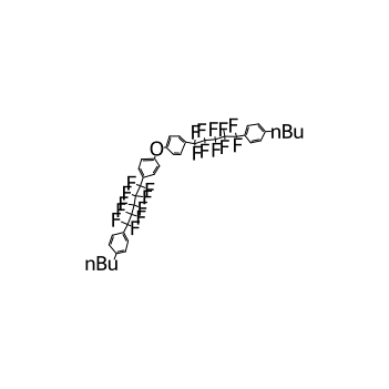 CCCCc1ccc(C(F)(F)C(F)(F)C(F)(F)C(F)(F)C(F)(F)c2ccc(Oc3ccc(C(F)(F)C(F)(F)C(F)(F)C(F)(F)C(F)(F)c4ccc(CCCC)cc4)cc3)cc2)cc1